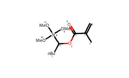 C=C(C)C(=O)OC(CCCC)[Si](OC)(OC)OC